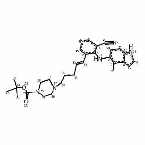 Cc1c(Nc2c(C#N)cncc2C=CCCCN2CCN(C(=O)OC(C)(C)C)CC2)ccc2[nH]ccc12